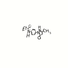 CCC(=O)Nc1ccc(-n2[nH]c(C)cc2=O)cc1